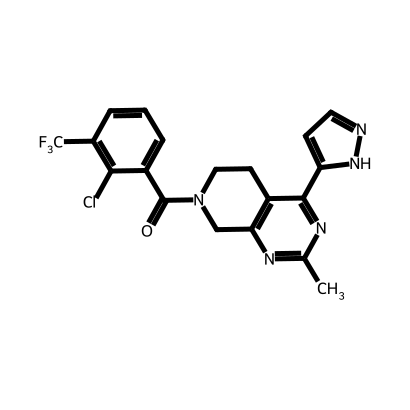 Cc1nc2c(c(-c3ccn[nH]3)n1)CCN(C(=O)c1cccc(C(F)(F)F)c1Cl)C2